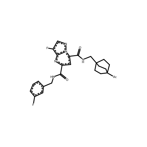 CC(=O)C12CCC(CNC(=O)c3cc(C(=O)NCc4cccc(F)c4)nc4c(F)cnn34)(CC1)CC2